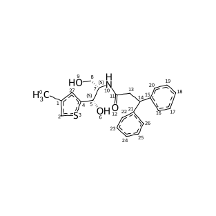 Cc1csc([C@@H](O)[C@H](CO)NC(=O)CC(c2ccccc2)c2ccccc2)c1